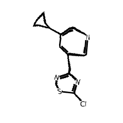 Clc1nc(-c2cncc(C3CC3)c2)ns1